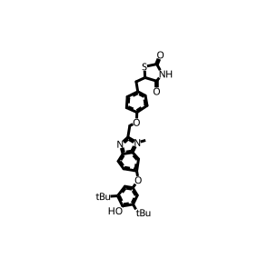 Cn1c(COc2ccc(CC3SC(=O)NC3=O)cc2)nc2ccc(Oc3cc(C(C)(C)C)c(O)c(C(C)(C)C)c3)cc21